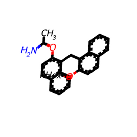 CCCCCCOc1ccc2ccccc2c1Cc1c(OC(C)N)ccc2ccccc12